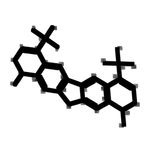 CC1CC=C(C(C)(C)C)c2cc3c(cc21)Cc1cc2c(cc1-3)C(C(C)(C)C)=CCC2C